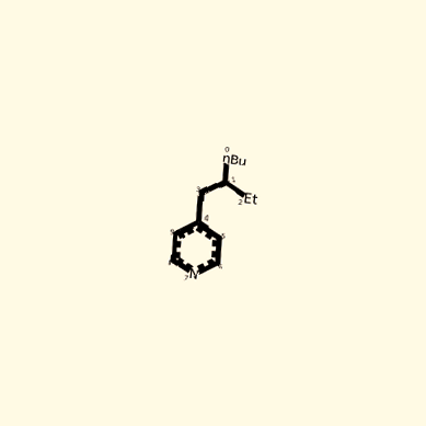 CCCCC(CC)Cc1ccncc1